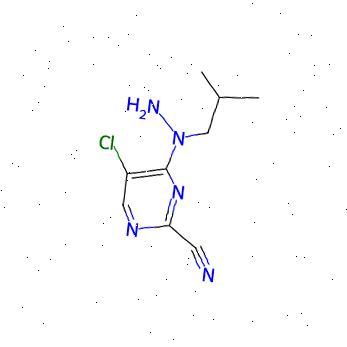 CC(C)CN(N)c1nc(C#N)ncc1Cl